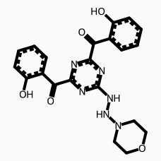 O=C(c1nc(NNN2CCOCC2)nc(C(=O)c2ccccc2O)n1)c1ccccc1O